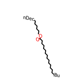 CCCCCCCCCCCCCCCCOC(=O)CCCCCCCCCCCCCCC(C)CC